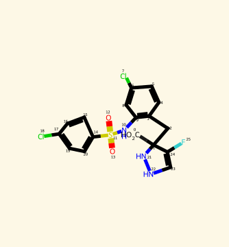 O=C(O)C1(Cc2ccc(Cl)cc2NS(=O)(=O)c2ccc(Cl)cc2)NNC=C1F